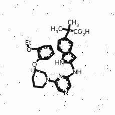 CCOc1ccccc1O[C@@H]1CCCN(c2cncc(Nc3cc4cc(C(C)(C)C(=O)O)ccc4[nH]3)n2)C1